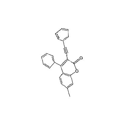 Cc1ccc2c(-c3ccccc3)c(C#Cc3ccccc3)c(=O)oc2c1